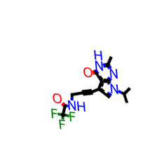 Cc1nc2c(c(C#CCNC(=O)C(F)(F)F)cn2C(C)C)c(=O)[nH]1